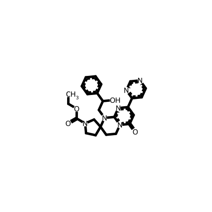 CCOC(=O)N1CCC2(CCn3c(nc(-c4ccncn4)cc3=O)N2CC(O)c2ccccc2)C1